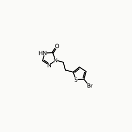 O=c1[nH]cnn1CCc1ccc(Br)s1